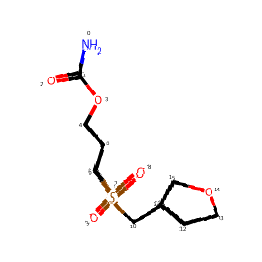 NC(=O)OCCCS(=O)(=O)CC1CCOC1